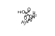 O=S(=O)(O)O.[NH2][Ag][NH2]